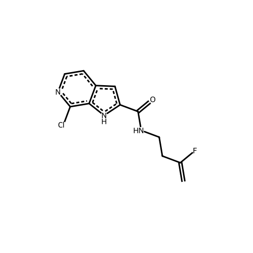 C=C(F)CCNC(=O)c1cc2ccnc(Cl)c2[nH]1